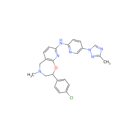 Cc1ncn(-c2ccc(Nc3ccc4c(n3)OC(c3ccc(Cl)cc3)CN(C)C4)nc2)n1